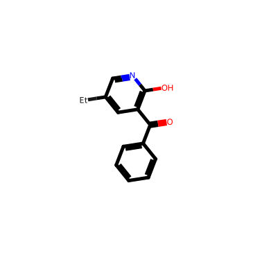 CCc1cnc(O)c(C(=O)c2ccccc2)c1